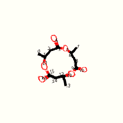 CC1CC(=O)OC(C)CC(=O)OC(C)CC(=O)O1